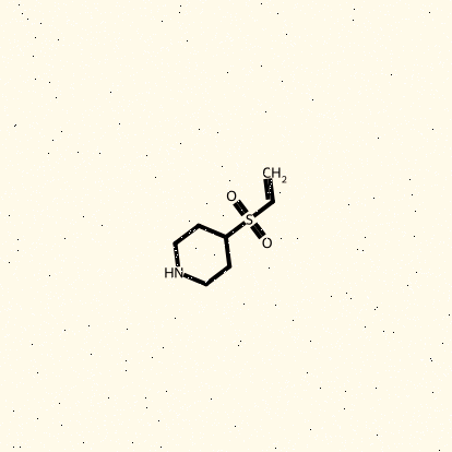 C=CS(=O)(=O)C1CCNCC1